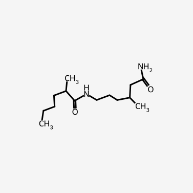 CCCCC(C)C(=O)NCCCC(C)CC(N)=O